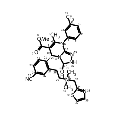 COC(=O)C1=C(C)N(c2cccc(C(F)(F)F)c2)C2=NNC(O)N2[C@@H]1c1ccc(C#N)cc1CC[N+](C)(C)Cc1nccs1